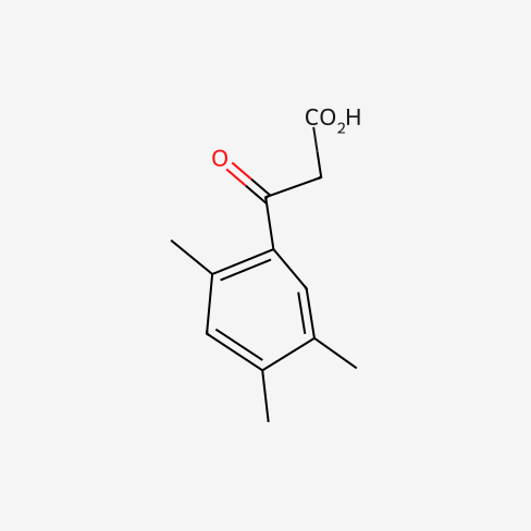 Cc1cc(C)c(C(=O)CC(=O)O)cc1C